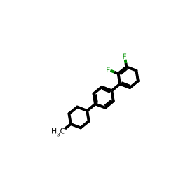 CC1CCC(c2ccc(C3=CCCC(F)=C3F)cc2)CC1